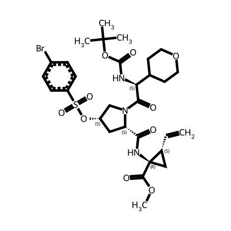 C=C[C@@H]1C[C@]1(NC(=O)[C@@H]1C[C@H](OS(=O)(=O)c2ccc(Br)cc2)CN1C(=O)[C@@H](NC(=O)OC(C)(C)C)C1CCOCC1)C(=O)OC